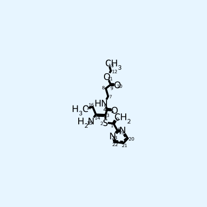 C=C(S/C(C(=O)NCCC(=O)OCC)=C(\N)CC)c1ncccn1